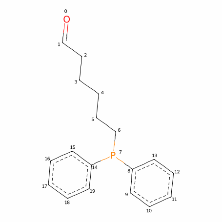 O=CCCCCCP(c1ccccc1)c1ccccc1